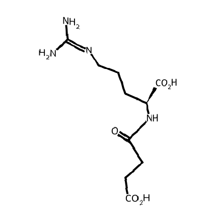 NC(N)=NCCC[C@H](NC(=O)CCC(=O)O)C(=O)O